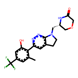 Cc1cc(C(F)(F)F)cc(O)c1-c1cc2c(nn1)N(C[C@H]1COCC(=O)N1)CC2